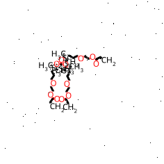 C=CC(=O)OCCOCCC[Si](C)(C)OC([SiH3])(O[Si](C)(C)CCCOCCOC(=O)C=C)O[Si](C)(C)CCCOCCOC(=O)C=C